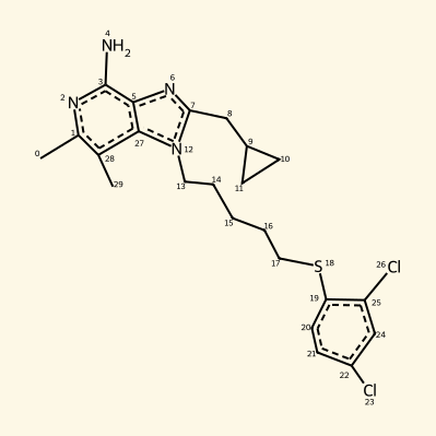 Cc1nc(N)c2nc(CC3CC3)n(CCCCCSc3ccc(Cl)cc3Cl)c2c1C